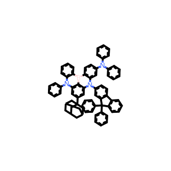 c1ccc(N(c2ccccc2)c2ccc3c(c2)N(c2ccc4c(c2)C(c2ccccc2)(c2ccccc2)c2ccccc2-4)c2cc(C45CC6CC(CC(C6)C4)C5)cc4c2B3c2ccccc2N4c2ccccc2)cc1